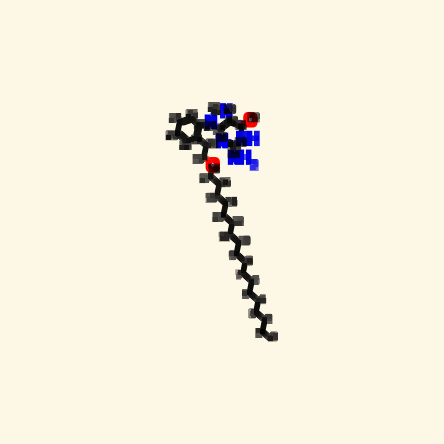 CCCCCCCCCCCCCCCCCCOCCc1[c]cccc1-n1cnc2c(=O)[nH]c(N)nc21